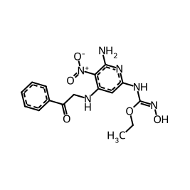 CCOC(=NO)Nc1cc(NCC(=O)c2ccccc2)c([N+](=O)[O-])c(N)n1